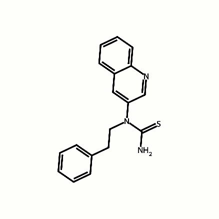 NC(=S)N(CCc1ccccc1)c1cnc2ccccc2c1